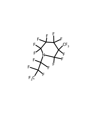 FC(F)(F)C(F)(F)C(F)(F)N1C(F)(F)C(F)(F)C(F)(F)C(F)(C(F)(F)F)C1(F)F